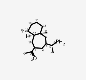 CC(=O)C1CC([C@H](C)P)C[C@@]2(C)CCC[C@@H](C)[C@@H]2C1